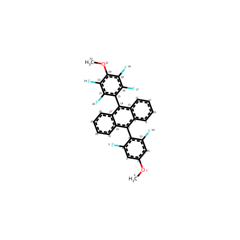 COc1cc(F)c(-c2c3ccccc3c(-c3c(F)c(F)c(OC)c(F)c3F)c3ccccc23)c(F)c1